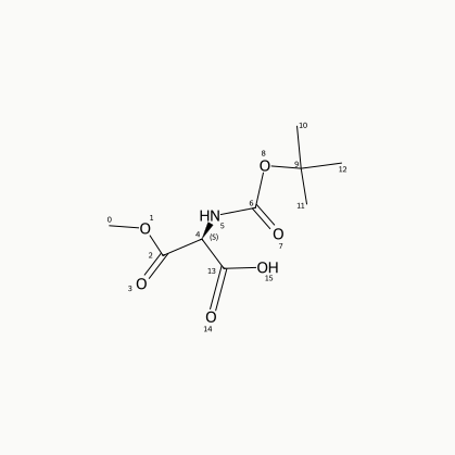 COC(=O)[C@@H](NC(=O)OC(C)(C)C)C(=O)O